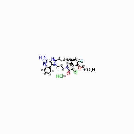 COCCc1nc2c(N)nc3ccccc3c2n1CCCN(Cc1ccc(F)c(OCC(=O)O)c1)C(=O)CCl.Cl